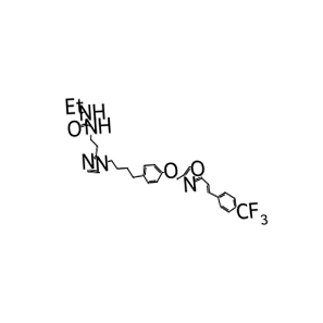 CCNC(=O)NCCc1nccn1CCCCc1ccc(OCc2coc(C=Cc3ccc(C(F)(F)F)cc3)n2)cc1